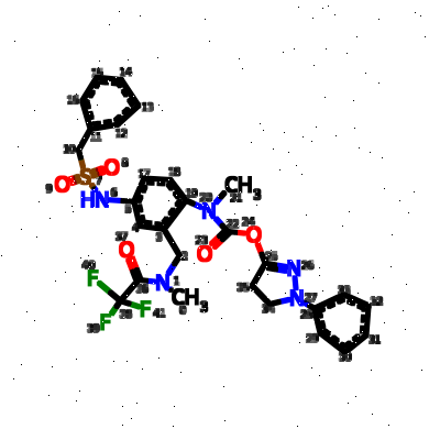 CN(Cc1cc(NS(=O)(=O)Cc2ccccc2)ccc1N(C)C(=O)OC1=NN(c2ccccc2)CC1)C(=O)C(F)(F)F